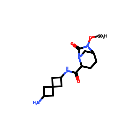 NC1CC2(C1)CC(NC(=O)C1CCC3CN1C(=O)N3OS(=O)(=O)O)C2